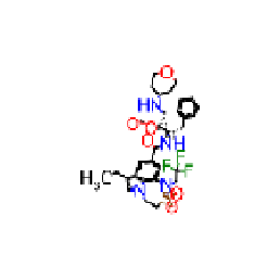 CCc1cn2c3c(cc(C(=O)N[C@@H](Cc4ccccc4)[C@@H](CNC4CCOCC4)OC=O)cc13)N(CC(F)(F)F)S(=O)(=O)CC2